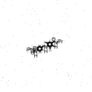 Cc1cc(C(=O)NC(C)C)c(C)c(C)c1NCc1ccc(NS(=O)(=O)C(C)C)cc1